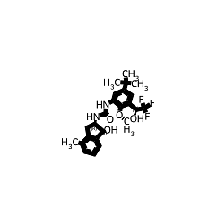 COc1c(NC(=O)N[C@@H]2Cc3c(C)cccc3[C@@H]2O)cc(C(C)(C)C)cc1[C@H](O)C(F)(F)F